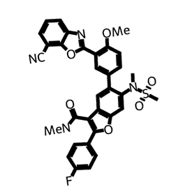 CNC(=O)c1c(-c2ccc(F)cc2)oc2cc(N(C)S(C)(=O)=O)c(-c3ccc(OC)c(-c4nc5cccc(C#N)c5o4)c3)cc12